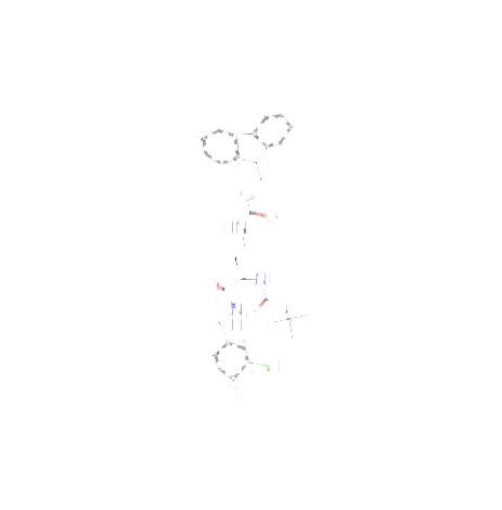 CC(C)(C)OC(=O)N[C@H](CCNC(=O)OCC1c2ccccc2-c2ccccc21)C(=O)NCc1ccc(Cl)c(Cl)c1